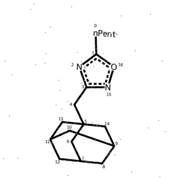 [CH2]CCC[CH]c1nc(CC23CC4CC(CC(C4)C2)C3)no1